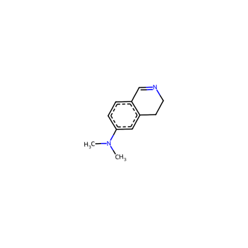 CN(C)c1ccc2c(c1)CCN=C2